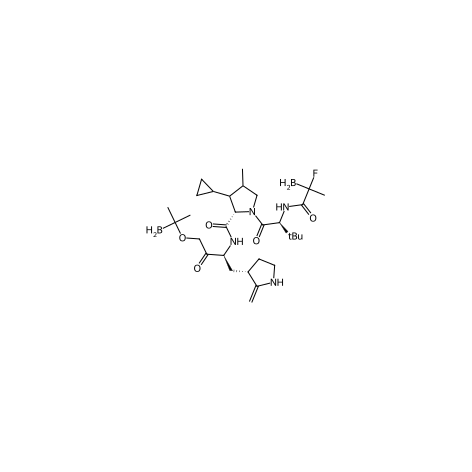 BC(C)(C)OCC(=O)[C@H](C[C@@H]1CCNC1=C)NC(=O)[C@@H]1C(C2CC2)C(C)CN1C(=O)[C@@H](NC(=O)C(B)(C)F)C(C)(C)C